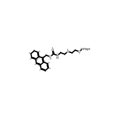 CCCCCCCOCCOCCNC(=O)OCc1c2c(cc3ccccc13)=CCCC=2